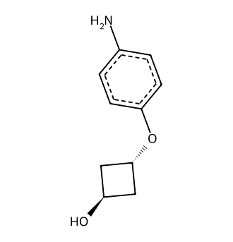 Nc1ccc(O[C@H]2C[C@H](O)C2)cc1